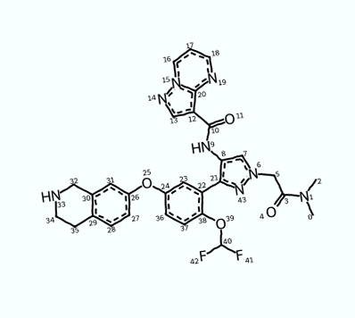 CN(C)C(=O)Cn1cc(NC(=O)c2cnn3cccnc23)c(-c2cc(Oc3ccc4c(c3)CNCC4)ccc2OC(F)F)n1